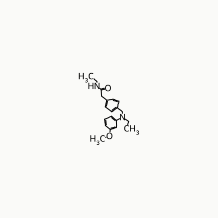 CCNC(=O)Cc1ccc(CN(CC)c2cccc(OC)c2)cc1